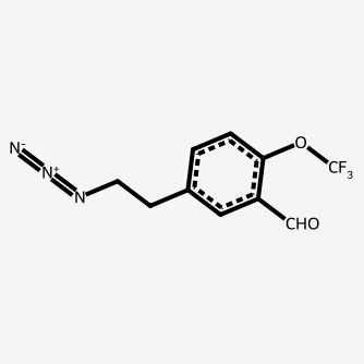 [N-]=[N+]=NCCc1ccc(OC(F)(F)F)c(C=O)c1